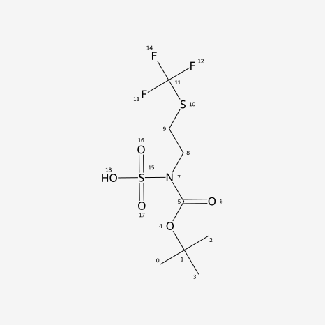 CC(C)(C)OC(=O)N(CCSC(F)(F)F)S(=O)(=O)O